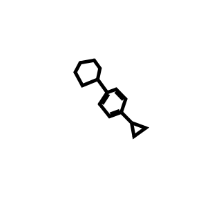 c1cc(C2CC2)ccc1C1CCCCC1